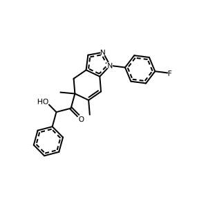 CC1=Cc2c(cnn2-c2ccc(F)cc2)CC1(C)C(=O)C(O)c1ccccc1